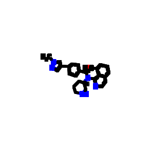 Cc1cccc2ccnc(N(C(=O)c3ccc(-c4cnn(C)c4)cc3)[C@@H]3CCCNC3)c12